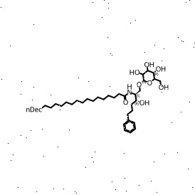 CCCCCCCCCCCCCCCCCCCCCCCCCC(=O)N[C@@H](CO[C@H]1OC(CO)[C@H](O)C(O)C1O)[C@H](O)CCCc1ccccc1